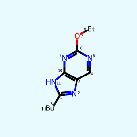 CCCCc1nc2cnc(OCC)nc2[nH]1